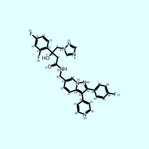 O=C(CC(O)(Cn1cncn1)c1ccc(F)cc1F)NCc1ccc2c(-c3ccncc3)c(-c3ccc(F)cc3)nn2c1